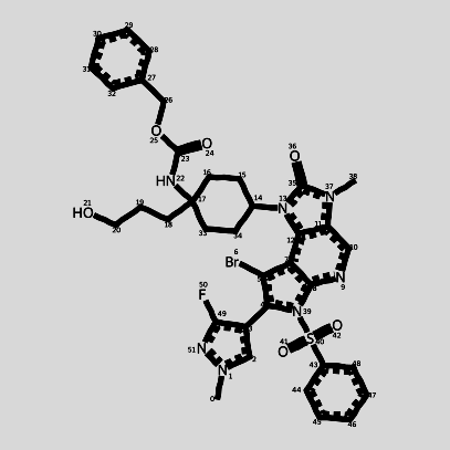 Cn1cc(-c2c(Br)c3c(ncc4c3n(C3CCC(CCCO)(NC(=O)OCc5ccccc5)CC3)c(=O)n4C)n2S(=O)(=O)c2ccccc2)c(F)n1